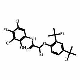 CCc1c(Cl)cc(NC(=O)C(CC)Oc2ccc(C(C)(C)CC)cc2C(C)(C)CC)c(O)c1Cl